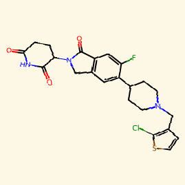 O=C1CCC(N2Cc3cc(C4CCN(Cc5ccsc5Cl)CC4)c(F)cc3C2=O)C(=O)N1